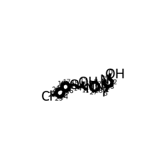 Oc1ccc(F)c(N2CCN(CC(O)COc3ccc4cc(Cl)ccc4c3)CC2)n1